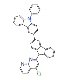 Clc1cc(C2c3ccccc3-c3cc(-c4ccc5c(c4)c4ccccc4n5-c4ccccc4)ccc32)nc2ncccc12